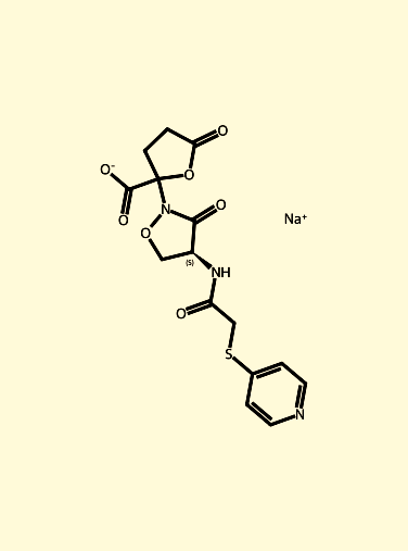 O=C(CSc1ccncc1)N[C@H]1CON(C2(C(=O)[O-])CCC(=O)O2)C1=O.[Na+]